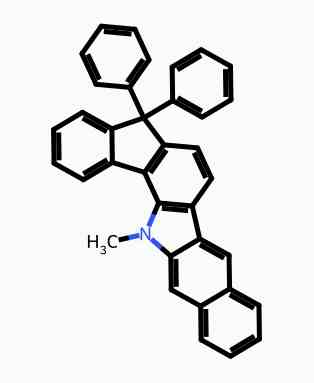 Cn1c2cc3ccccc3cc2c2ccc3c(c21)-c1ccccc1C3(c1ccccc1)c1ccccc1